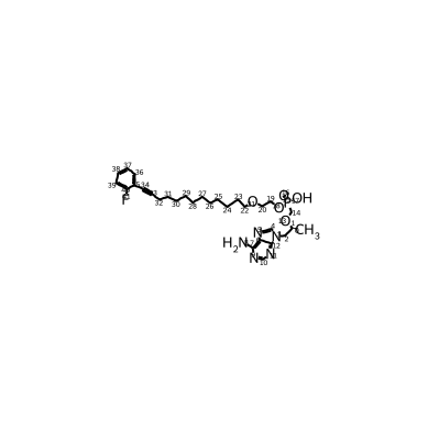 C[C@H](Cn1cnc2c(N)ncnc21)OCP(=O)(O)OCCOCCCCCCCCCCCC#Cc1ccccc1F